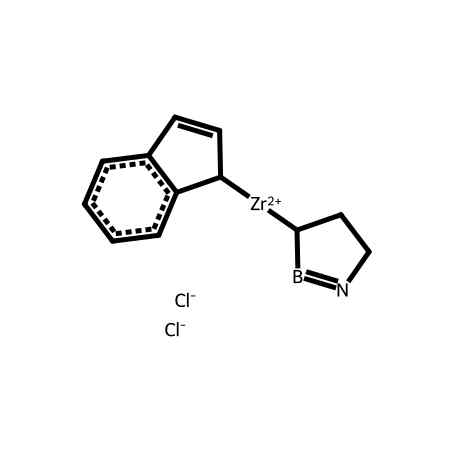 B1=NCC[CH]1[Zr+2][CH]1C=Cc2ccccc21.[Cl-].[Cl-]